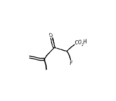 C=C(C)C(=O)C(F)C(=O)O